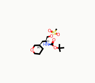 CC(C)(C)OC(=O)N[C@H](COS(C)(=O)=O)C[C@H]1CCCOC1